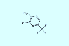 Cc1ccc(C(F)(F)F)nc1Cl